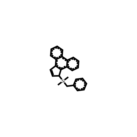 C[Si](C)(Cc1ccccc1)C1C=Cc2c1c1ccccc1c1ccccc21